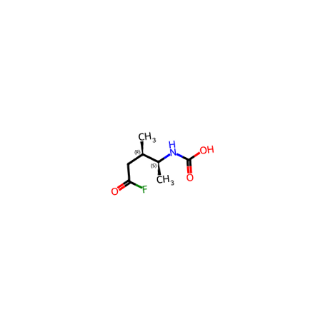 C[C@H](CC(=O)F)[C@H](C)NC(=O)O